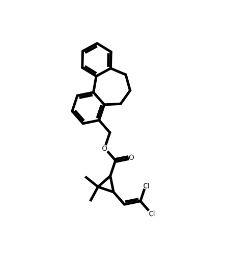 CC1(C)C(C=C(Cl)Cl)C1C(=O)OCc1cccc2c1CCCc1ccccc1-2